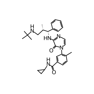 Cc1ccc(C(=O)NC2CC2)cc1-n1ccnc(N[C@@H](c2ccccc2)[C@@H](C)CNC(C)(C)C)c1=O